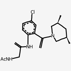 C=C(CNC(C)=O)Nc1ccc(Cl)cc1C(=C)N1C[C@H](C)C[C@H](C)C1